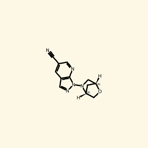 N#Cc1cnc2c(cnn2N2C[C@H]3C[C@@H]2CO3)c1